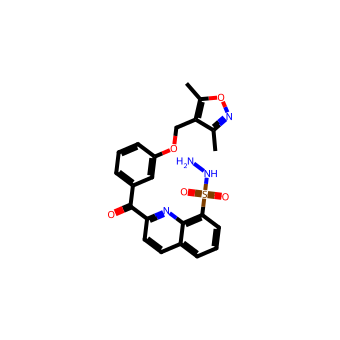 Cc1noc(C)c1COc1cccc(C(=O)c2ccc3cccc(S(=O)(=O)NN)c3n2)c1